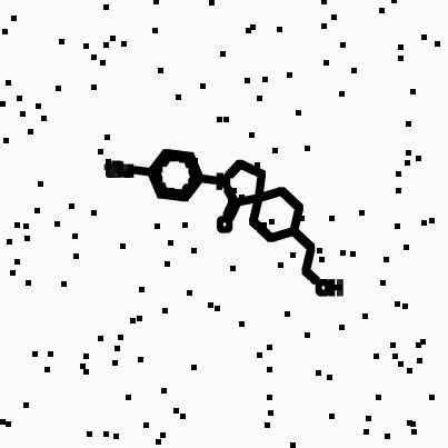 CC(C)(C)c1ccc(N2CCC3(CCC(CCO)CC3)C2=O)cc1